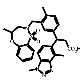 Cc1ccc(C(CC(=O)O)c2ccc3c(nnn3C)c2C)cc1CN1CC(C)Oc2ccccc2S1(=O)=O